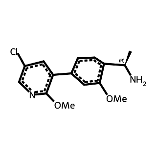 COc1cc(-c2cc(Cl)cnc2OC)ccc1[C@@H](C)N